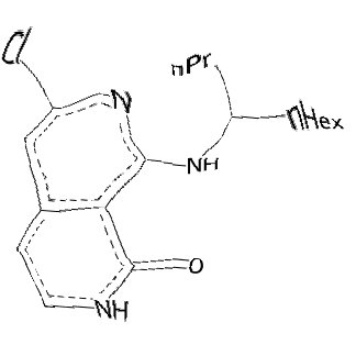 CCCCCCC(CCC)Nc1nc(Cl)cc2cc[nH]c(=O)c12